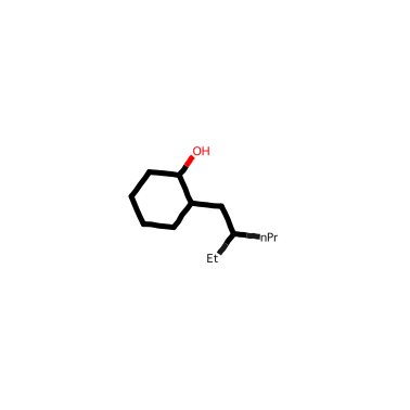 CCCC(CC)CC1CCCCC1O